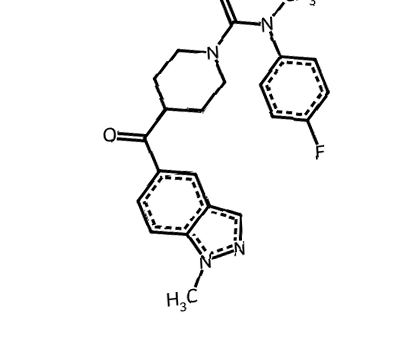 CN(C(=O)N1CCC(C(=O)c2ccc3c(cnn3C)c2)CC1)c1ccc(F)cc1